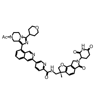 CC(=O)N1CCn2c(C3CCOCC3)nc(-c3cccc4cc(-c5ccc(C(=O)NC[C@]6(C)COc7c6ccc6c7CN(C7CCC(=O)NC7=O)C6=O)nc5)ncc34)c2C1